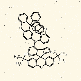 CC(C)(C)c1ccc2c(c1)C1(c3cc(C(C)(C)C)ccc3O2)c2ccccc2-c2c(N(c3ccc4c(c3)C(c3ccccc3)(c3ccccc3)c3ccccc3O4)c3cccc4oc5ccccc5c34)cccc21